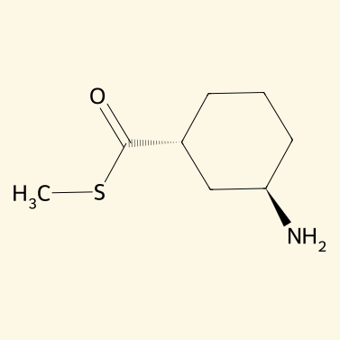 CSC(=O)[C@@H]1CCC[C@@H](N)C1